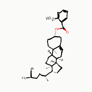 CC[C@H](CC[C@@H](C)[C@H]1CC[C@H]2[C@@H]3CC=C4C[C@@H](OC(=O)c5ccccc5C(=O)O)CC[C@]4(C)[C@H]3CC[C@]12C)C(C)C